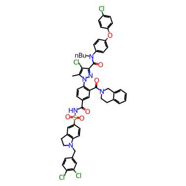 CCCCN(C(=O)c1nn(-c2ccc(C(=O)NS(=O)(=O)c3ccc4c(c3)CCN4Cc3ccc(Cl)c(Cl)c3)cc2C(=O)N2CCc3ccccc3C2)c(C)c1Cl)c1ccc(Oc2ccc(Cl)cc2)cc1